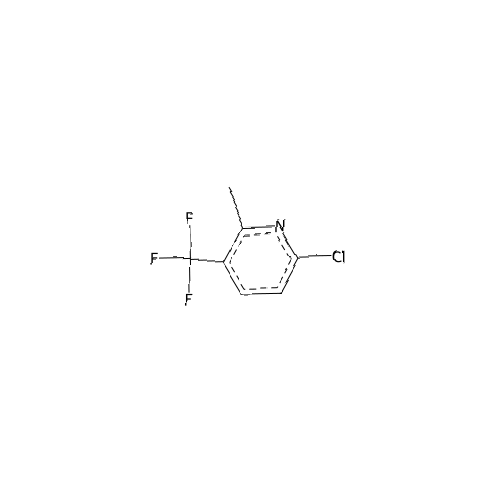 Cc1nc(Cl)ccc1C(F)(F)F